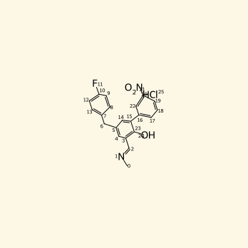 CN=Cc1cc(Cc2ccc(F)cc2)cc(-c2cccc([N+](=O)[O-])c2)c1O.Cl